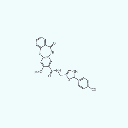 COc1cc2c(cc1C(=O)NCC1=CNC(c3ccc(C#N)cc3)S1)NC(=O)c1ccccc1S2